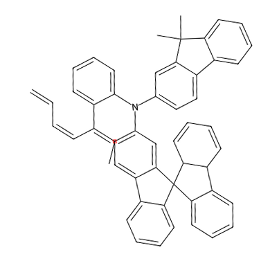 C=C/C=C\C(=C/C)c1ccccc1N(c1ccc2c(c1)C(C)(C)c1ccccc1-2)c1ccc2c(c1)C1(c3ccccc3-2)c2ccccc2C2C=CC=CC21